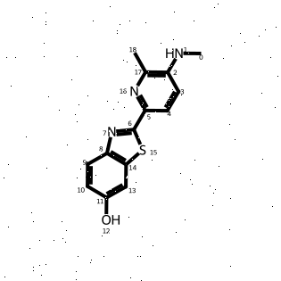 CNc1ccc(-c2nc3ccc(O)cc3s2)nc1C